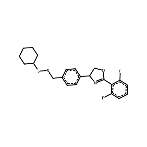 Fc1cccc(F)c1C1=NC(c2ccc(CSSC3CCCCC3)cc2)CO1